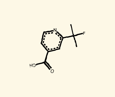 CC(C)(F)c1cc(C(=O)O)ccn1